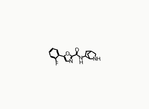 O=C(NC1CC2CNC1C2)c1ncc(-c2ccccc2F)o1